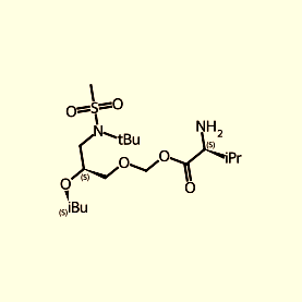 CC[C@H](C)O[C@H](COCOC(=O)[C@@H](N)C(C)C)CN(C(C)(C)C)S(C)(=O)=O